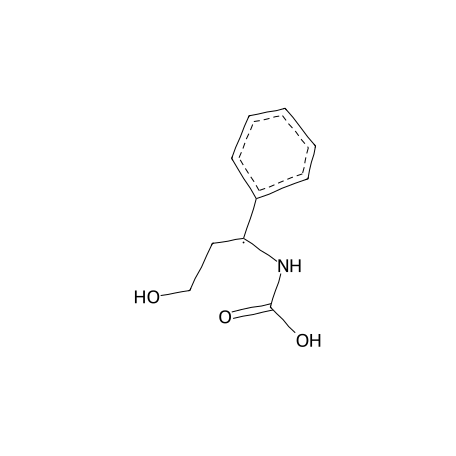 O=C(O)N[C](CCO)c1ccccc1